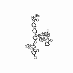 CCC(C)n1ncn(-c2ccc(N3CCN(c4ccc(OC[C@H]5CO[C@](Cn6cncn6)(c6ccc(Cl)cc6Cl)O5)cc4)CC3)cc2)c1=O.O=C(O)Nn1ccnn1.O=C1CCC(N2C(=O)c3ccccc3C2=O)C(=O)N1